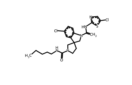 C=C(Nc1ncc(Cl)s1)N1CC2(CCN(C(=O)NCCCCC)C2)c2cc(Cl)ccc21